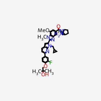 COc1cc(C(=O)N2CC3CCC2[C@@H]3N)cc2nc(-c3cc4ccc(-c5ccc(OCC(C)(C)O)c(F)c5)nc4n3CC3CC3)n(C)c12